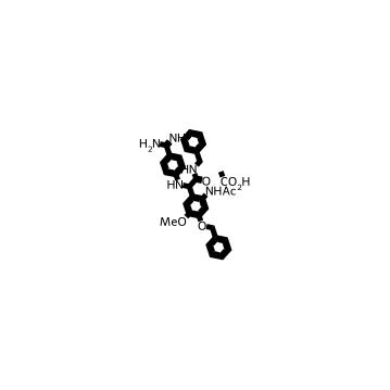 CC(=O)O.COc1cc(C(Nc2ccc(C(=N)N)cc2)C(=O)NCc2ccccc2)c(NC(C)=O)cc1OCc1ccccc1